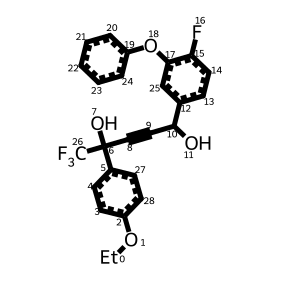 CCOc1ccc(C(O)(C#CC(O)c2ccc(F)c(Oc3ccccc3)c2)C(F)(F)F)cc1